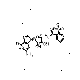 Nc1nc2c(ncn2[C@@H]2O[C@H](COC(=O)c3ccccc3S(=O)(=O)F)[C@@H](O)[C@H]2O)c(=O)[nH]1